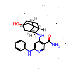 NC(=O)c1cnc(Nc2ccccc2)cc1N[C@@H]1[C@@H]2C[C@@H]3C[C@H]1C[C@@](O)(C3)C2